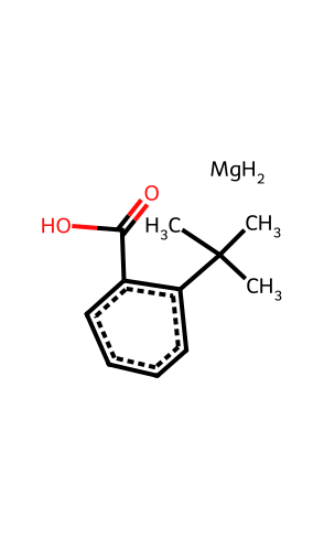 CC(C)(C)c1ccccc1C(=O)O.[MgH2]